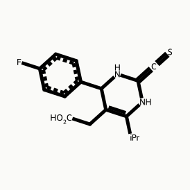 CC(C)C1=C(CC(=O)O)C(c2ccc(F)cc2)NC(=C=S)N1